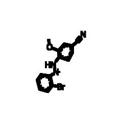 COc1cc(C#N)ccc1N[N]c1ccccc1Br